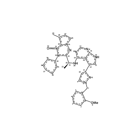 COc1ccccc1Cn1ccc(-c2c[nH]c3ncnc(N[C@@H](C)c4nn5ccc(C)c5c(=O)n4-c4ccccc4)c23)n1